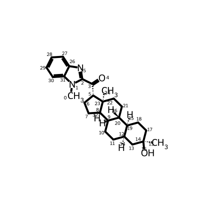 Cn1c(C(=O)[C@H]2CC[C@H]3[C@@H]4CC[C@@H]5C[C@](C)(O)CC[C@@H]5[C@H]4CC[C@]23C)nc2ccccc21